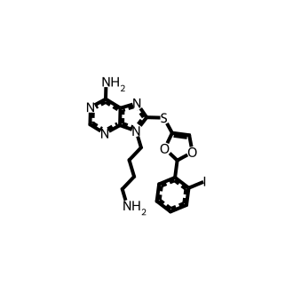 NCCCCn1c(SC2=COC(c3ccccc3I)O2)nc2c(N)ncnc21